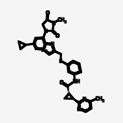 Cc1ccnc([C@H]2C[C@@H]2C(=O)Nc2cccc(SCc3cn4cc(C5CC5)cc(N5CC(=O)N(C)C5=O)c4n3)c2)n1